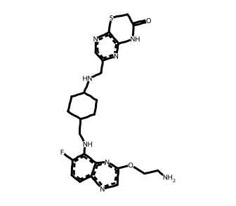 NCCOc1cnc2ccc(F)c(NCC3CCC(NCc4cnc5c(n4)NC(=O)CS5)CC3)c2n1